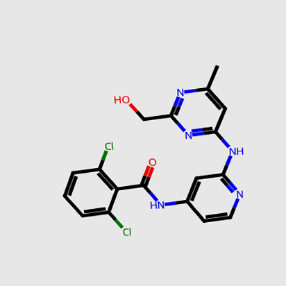 Cc1cc(Nc2cc(NC(=O)c3c(Cl)cccc3Cl)ccn2)nc(CO)n1